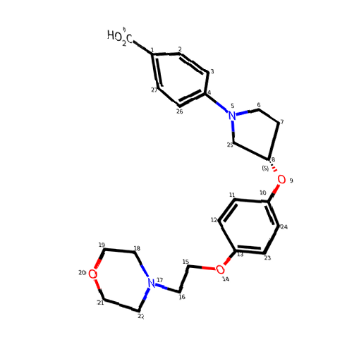 O=C(O)c1ccc(N2CC[C@H](Oc3ccc(OCCN4CCOCC4)cc3)C2)cc1